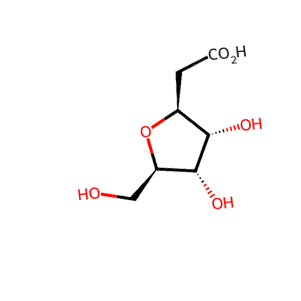 O=C(O)C[C@@H]1O[C@H](CO)[C@@H](O)[C@H]1O